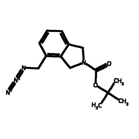 CC(C)(C)OC(=O)N1Cc2cccc(CN=[N+]=[N-])c2C1